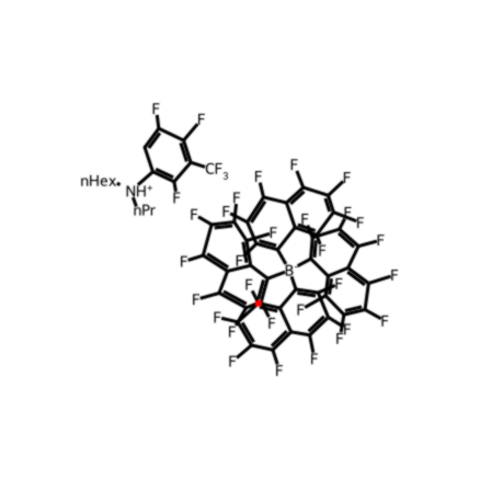 CCCCCC[NH+](CCC)c1cc(F)c(F)c(C(F)(F)F)c1F.Fc1c(F)c(F)c2c([B-](c3c(F)c(F)c(F)c4c(F)c(F)c(F)c(F)c34)(c3c(F)c(F)c(F)c4c(F)c(F)c(F)c(F)c34)c3c(F)c(F)c(F)c4c(F)c(F)c(F)c(F)c34)c(F)c(F)c(F)c2c1F